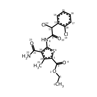 CCOC(=O)c1sc(NC(=O)C(Cl)c2ccccc2Cl)c(C(N)=O)c1C